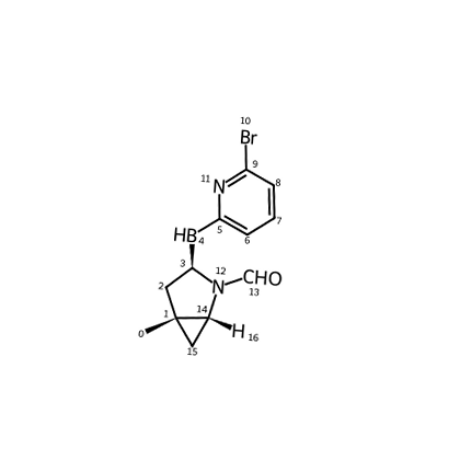 C[C@@]12C[C@@H](Bc3cccc(Br)n3)N(C=O)[C@@H]1C2